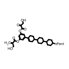 C=C(CO)C(=O)Oc1cc(OC(=O)C(=O)CO)cc(C2=CCC(C3CCC(C4CCC(CCCCC)CC4)CC3)CC2)c1